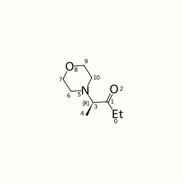 CCC(=O)[C@@H](C)N1CCOCC1